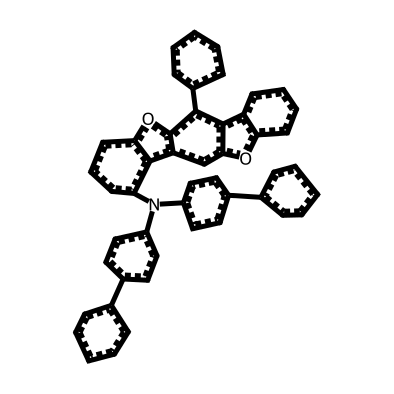 c1ccc(-c2ccc(N(c3ccc(-c4ccccc4)cc3)c3cccc4oc5c(-c6ccccc6)c6c(cc5c34)oc3ccccc36)cc2)cc1